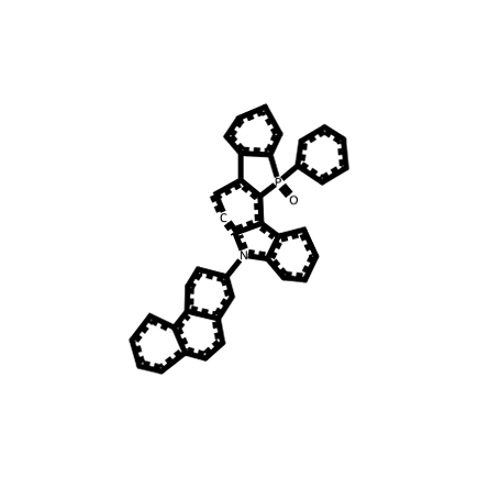 O=P1(c2ccccc2)c2ccccc2-c2ccc3c(c21)c1ccccc1n3-c1ccc2c(ccc3ccccc32)c1